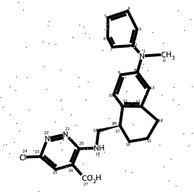 CN(c1ccccc1)c1ccc2c(c1)CCC[C@H]2CNc1nnc(Cl)cc1C(=O)O